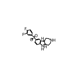 O=S(=O)(c1ccc(F)c(F)c1)c1ccc2c(c1)[C@@H]1CCNCC[C@@H]1N2